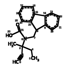 C#CC(C)(CC)N(CC1c2ccccc2-c2ccccc21)C(=O)O